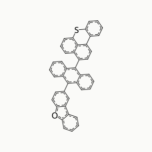 c1ccc2c(c1)Sc1cccc3c(-c4c5ccccc5c(-c5ccc6oc7ccccc7c6c5)c5ccccc45)ccc-2c13